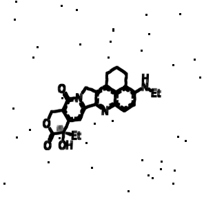 CCNc1ccc2nc3c(c4c2c1CCC4)Cn1c-3cc2c(c1=O)COC(=O)[C@]2(O)CC